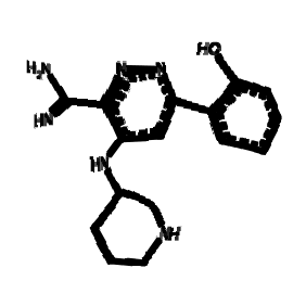 N=C(N)c1nnc(-c2ccccc2O)cc1NC1CCCNC1